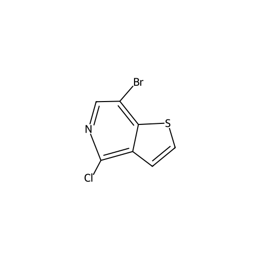 Clc1ncc(Br)c2sccc12